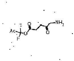 CC(=O)C(F)(F)OC(=O)CCC(=O)CN